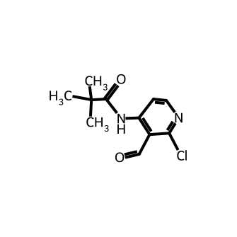 CC(C)(C)C(=O)Nc1ccnc(Cl)c1C=O